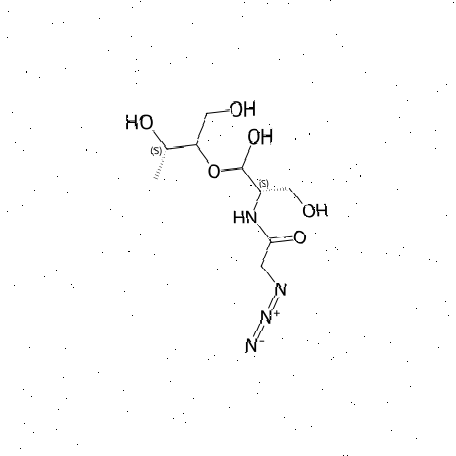 C[C@H](O)C(CO)OC(O)[C@H](CO)NC(=O)CN=[N+]=[N-]